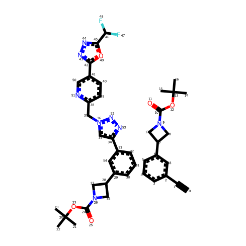 C#Cc1cccc(C2CN(C(=O)OC(C)(C)C)C2)c1.CC(C)(C)OC(=O)N1CC(c2cccc(-c3cn(Cc4ccc(-c5nnc(C(F)F)o5)cn4)nn3)c2)C1